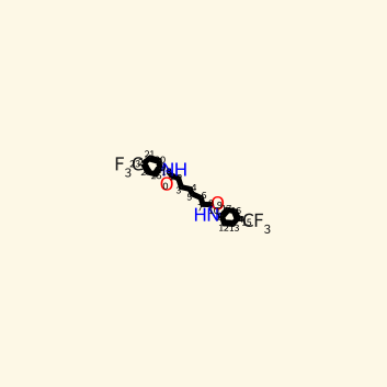 O=C(CCCCCCC(=O)Nc1ccc(C(F)(F)F)cc1)Nc1ccc(C(F)(F)F)cc1